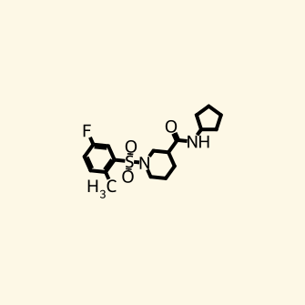 Cc1ccc(F)cc1S(=O)(=O)N1CCCC(C(=O)NC2CCCC2)C1